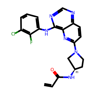 C=CC(=O)N[C@@H]1CCN(c2ccc3ncnc(Nc4cccc(Cl)c4F)c3n2)C1